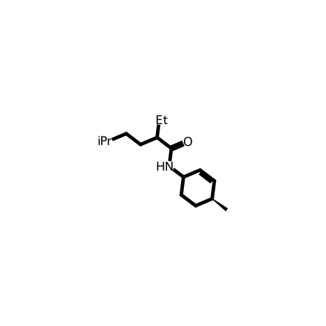 CCC(CCC(C)C)C(=O)NC1C=C[C@@H](C)CC1